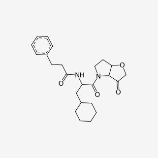 O=C(CCc1ccccc1)NC(CC1CCCCC1)C(=O)N1CCC2OCC(=O)C21